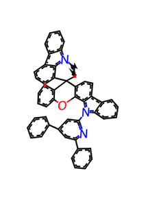 c1ccc(-c2cc(-c3ccccc3)nc(-n3c4ccccc4c4ccc5c(c43)Oc3ccccc3C53c4ccccc4-n4c5ccccc5c5cccc3c54)c2)cc1